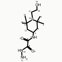 CC1(C)CC(NC(=O)C(=O)NN)CC(C)(C)N1CCO